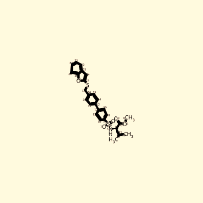 COC(=O)[C@H](NS(=O)(=O)c1ccc(-c2ccc(CSc3cc4ccccc4o3)cc2)cc1)C(C)C